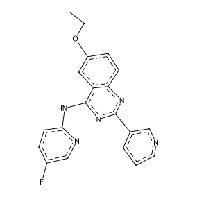 CCOc1ccc2nc(-c3cccnc3)nc(Nc3ccc(F)cn3)c2c1